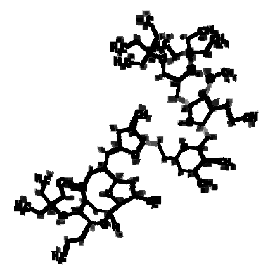 C=CC[C@@H]1O[C@@H]2CC(OCC(CC3CC(=C)[C@H](CCC4CC(C)C(=C)C(C[C@@H]5O[C@H](CC(CO[Si](CC)(CC)CC)O[Si](CC)(CC)CC)[C@H](OC)C5CCO)O4)O3)C3CC(O)C2O3)C1O[Si](CC)(CC)CC